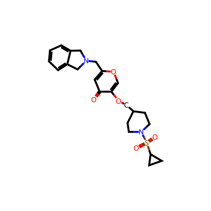 O=c1cc(CN2Cc3ccccc3C2)occ1OCC1CCN(S(=O)(=O)C2CC2)CC1